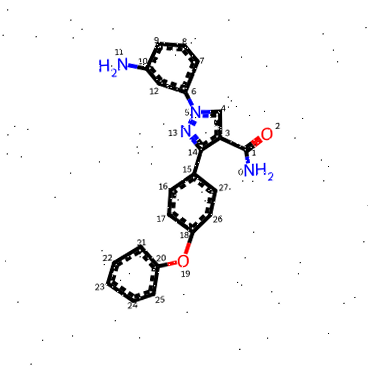 NC(=O)c1cn(-c2cccc(N)c2)nc1-c1ccc(Oc2ccccc2)cc1